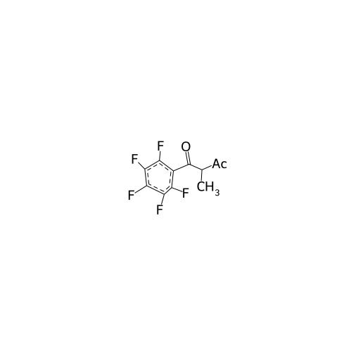 CC(=O)C(C)C(=O)c1c(F)c(F)c(F)c(F)c1F